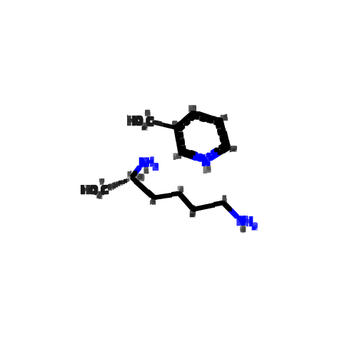 NCCCC[C@@H](N)C(=O)O.O=C(O)c1cccnc1